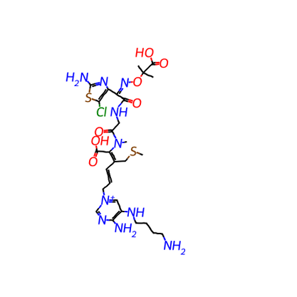 CSCC(/C=C/C[n+]1cnc(N)c(NCCCCN)c1)=C(/C(=O)O)N(C)C(=O)CNC(=O)/C(=N\OC(C)(C)C(=O)O)c1nc(N)sc1Cl